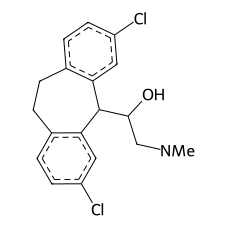 CNCC(O)C1c2cc(Cl)ccc2CCc2ccc(Cl)cc21